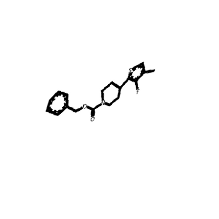 Cc1csc(C2CCN(C(=O)OCc3ccccc3)CC2)c1F